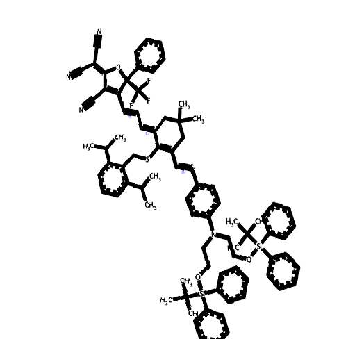 CC(C)c1cccc(C(C)C)c1CSC1=C(/C=C/c2ccc(N(CCO[Si](c3ccccc3)(c3ccccc3)C(C)(C)C)CCO[Si](c3ccccc3)(c3ccccc3)C(C)(C)C)cc2)CC(C)(C)C/C1=C\C=C\C1=C(C#N)C(=C(C#N)C#N)OC1(c1ccccc1)C(F)(F)F